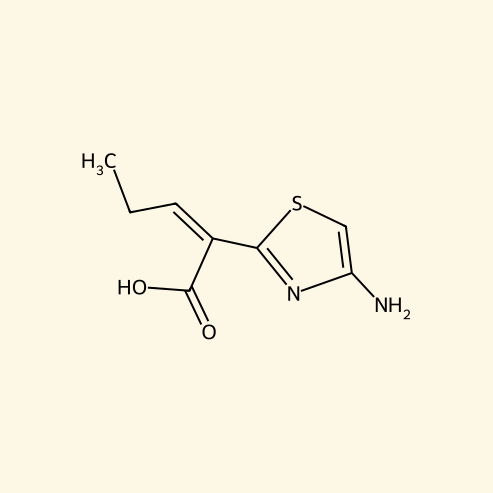 CCC=C(C(=O)O)c1nc(N)cs1